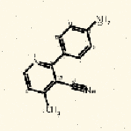 Cc1ccnc(-c2ccc(N)cc2)c1C#N